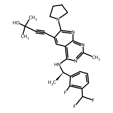 Cc1nc(N[C@H](C)c2cccc(C(F)F)c2F)c2cc(C#CC(C)(C)O)c(N3CCCC3)nc2n1